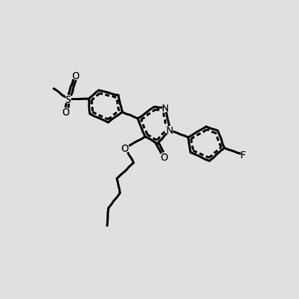 CCCCCOc1c(-c2ccc(S(C)(=O)=O)cc2)cnn(-c2ccc(F)cc2)c1=O